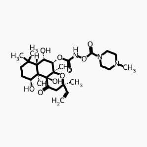 C=C[C@@]1(C)CC(=O)[C@]2(O)[C@@]3(C)[C@@H](O)CCC(C)(C)[C@@H]3[C@H](O)[C@H](OC(=O)NOC(=O)N3CCN(C)CC3)[C@@]2(C)O1